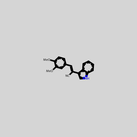 COc1ccc(C=C(C#N)c2c[nH]c3ccccc23)cc1OC